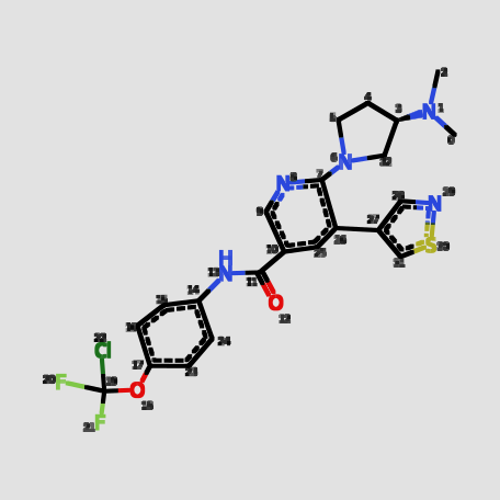 CN(C)[C@@H]1CCN(c2ncc(C(=O)Nc3ccc(OC(F)(F)Cl)cc3)cc2-c2cnsc2)C1